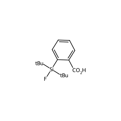 CC(C)(C)[Si](F)(c1ccccc1C(=O)O)C(C)(C)C